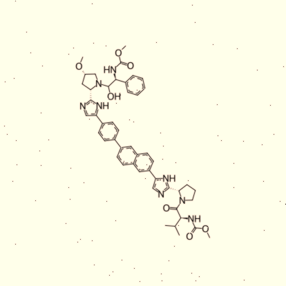 COC(=O)N[C@H](C(=O)N1CCC[C@H]1c1ncc(-c2ccc3cc(-c4ccc(-c5cnc([C@@H]6C[C@H](OC)CN6C(O)[C@@H](NC(=O)OC)c6ccccc6)[nH]5)cc4)ccc3c2)[nH]1)C(C)C